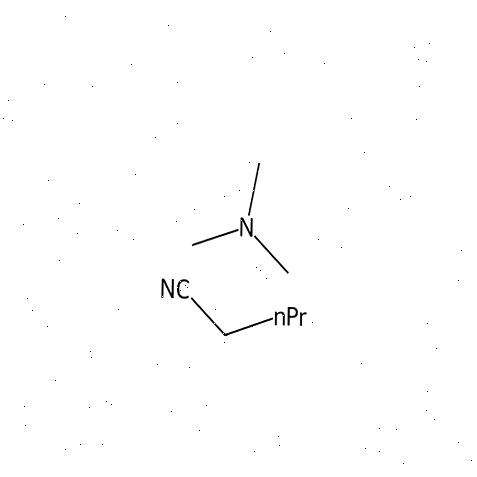 CCCCC#N.CN(C)C